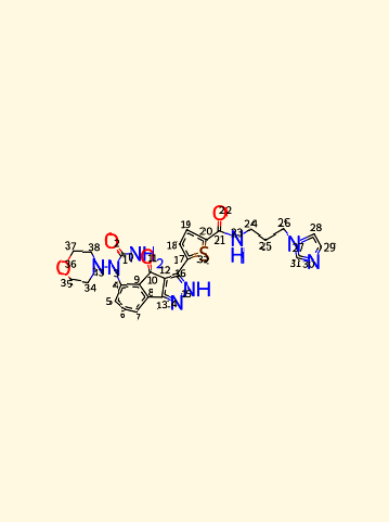 NC(=O)N(c1cccc2c1C(=O)c1c-2n[nH]c1-c1ccc(C(=O)NCCCn2ccnc2)s1)N1CCOCC1